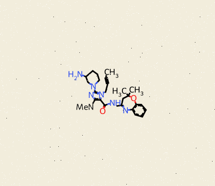 CC#CCn1c(N2CCCC(N)C2)nc(NC)c1C(=O)NCC1=Nc2ccccc2OC(C)(C)C1